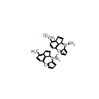 Cc1ccc(C)c2c1C=C[CH]2[Zr+]([CH3])[C]1=CC=CC1.Cc1ccc(C)c2c1C=C[CH]2[Zr+]([CH3])[C]1=CC=CC1.[Cl-].[Cl-]